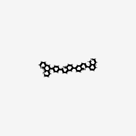 c1cc(-c2ccc3cc(-c4ccc5nc(-c6ccc(-c7cc8cccnc8c8ncccc78)cc6)ccc5c4)ccc3n2)c2cnccc2c1